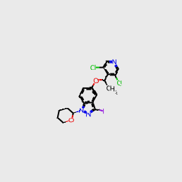 CC(Oc1ccc2c(c1)c(I)nn2C1CCCCO1)c1c(Cl)cncc1Cl